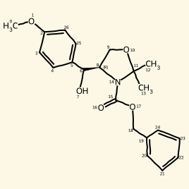 COc1ccc(C(O)[C@H]2COC(C)(C)N2C(=O)OCc2ccccc2)cc1